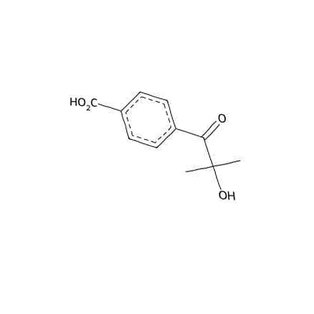 CC(C)(O)C(=O)c1ccc(C(=O)O)cc1